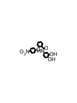 O=C(Nc1ccc(O)c(O)c1)c1ccccc1Oc1ccc([N+](=O)[O-])cc1